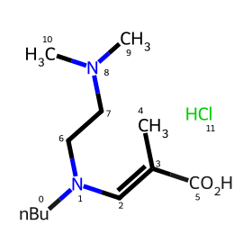 CCCCN(C=C(C)C(=O)O)CCN(C)C.Cl